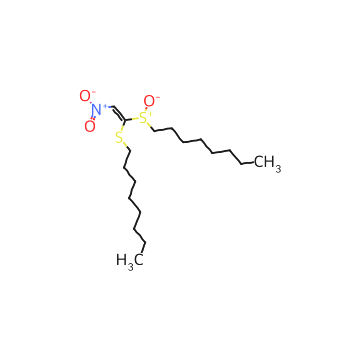 CCCCCCCCS/C(=C\[N+](=O)[O-])[S+]([O-])CCCCCCCC